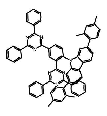 Cc1ccc(-c2ccc3c4ccc(-c5ccc(C)cc5C)cc4n(-c4ccc(-c5nc(-c6ccccc6)nc(-c6ccccc6)n5)cc4-c4nc(-c5ccccc5)nc(-c5ccccc5)n4)c3c2)c(C)c1